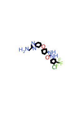 NCc1cnc2ccc(Oc3cccc(NC(=O)Nc4ccc(Cl)c(C(F)(F)F)c4)c3)cc2n1